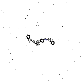 CN(C/C=C/c1ccc(-c2nnc(CSCCOc3ccccc3)o2)cc1)Cc1ccccc1